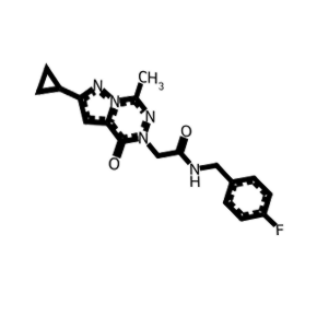 Cc1nn(CC(=O)NCc2ccc(F)cc2)c(=O)c2cc(C3CC3)nn12